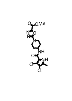 COC(=O)c1nnc(N2CCC(NC(=O)c3[nH]c(C)c(Cl)c3Cl)CC2)o1